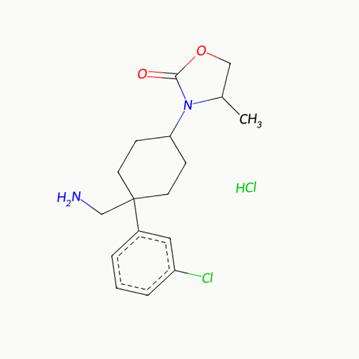 CC1COC(=O)N1C1CCC(CN)(c2cccc(Cl)c2)CC1.Cl